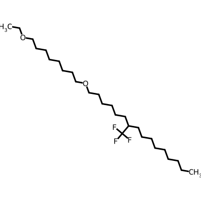 CCCCCCCCCC(CCCCCCOCCCCCCCCOCC)C(F)(F)F